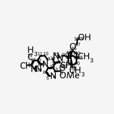 COC(=O)c1nccc(N2CCCc3c2nnc(Cl)c3C)c1-c1cnn(CC23CC4(C)CC(C)(C2)CC(OCCO)(C4)C3)c1C